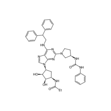 CCC(=O)N[C@@H]1C[C@H](n2cnc3c(NCC(c4ccccc4)c4ccccc4)nc(N4CC[C@@H](NC(=O)Nc5ccccc5)C4)nc32)[C@H](O)[C@@H]1O